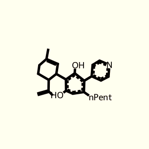 C=C(C)C1CCC(C)=CC1c1c(O)cc(CCCCC)c(-c2ccncc2)c1O